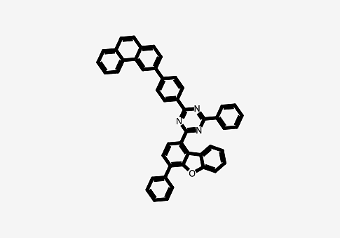 c1ccc(-c2nc(-c3ccc(-c4ccc5ccc6ccccc6c5c4)cc3)nc(-c3ccc(-c4ccccc4)c4oc5ccccc5c34)n2)cc1